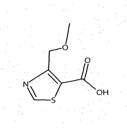 COCc1ncsc1C(=O)O